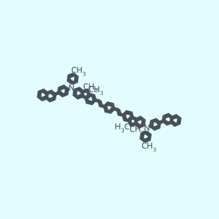 Cc1ccc(N(c2ccc(-c3ccc4ccccc4c3)cc2)c2ccc3c(c2)C(C)(C)c2cc(/C=C/c4ccc(/C=C/c5ccc6c(c5)C(C)(C)c5cc(N(c7ccc(C)cc7)c7ccc(-c8ccc9ccccc9c8)cc7)ccc5-6)cc4)ccc2-3)cc1